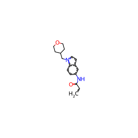 C=CC(=O)Nc1ccc2c(ccn2CC2CCOCC2)c1